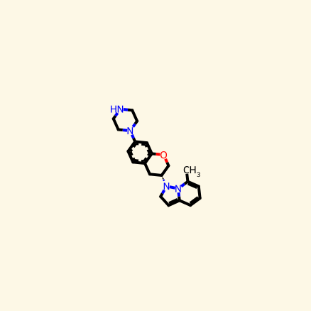 CC1=CC=CC2=CCN([C@H]3COc4cc(N5CCNCC5)ccc4C3)N12